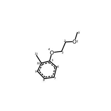 COCCOc1cc[c]cc1C